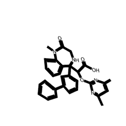 Cc1cc(C)nc(OC(C(=O)O)C2(c3cccc(-c4ccccc4)c3)NCC(=O)N(C)c3ccccc32)n1